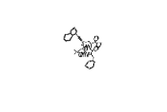 COC(=O)C(CSC#Cc1cccc2ccccc12)NC(=O)C(Cc1ccccc1)NC(=O)OC(C)(C)C